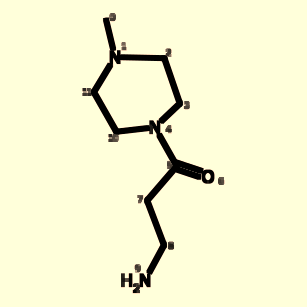 CN1CCN(C(=O)CCN)CC1